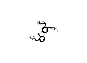 C=Cc1ccccc1C=C.C=Cc1ccccc1CC.[Pb]